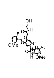 COc1cccc(F)c1COc1cc(-n2c(=O)[nH]c3c(OC)nc(C(C)=O)nc32)c(Cl)cc1OCC(=O)NCCO